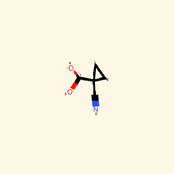 N#CC1(C([O])=O)CC1